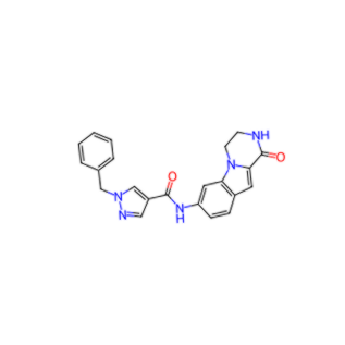 O=C(Nc1ccc2cc3n(c2c1)CCNC3=O)c1cnn(Cc2ccccc2)c1